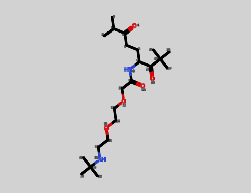 CC(C)C(=O)CCC(NC(=O)COCCOCCNC(C)(C)C)C(=O)C(C)(C)C